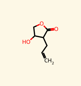 C=CCC1C(=O)OCC1O